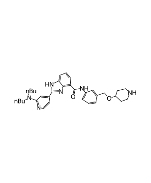 CCCCN(CCCC)c1cc(-c2nc3c(C(=O)Nc4cccc(COC5CCNCC5)c4)cccc3[nH]2)ccn1